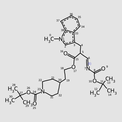 Cn1cc(CC(/C=N/C(=O)OC(C)(C)C)C(=O)OCCC2CCN(C(=O)OC(C)(C)C)CC2)c2ccccc21